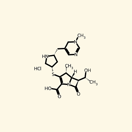 C[C@@H](O)[C@H]1C(=O)N2C(C(=O)O)=C(S[C@@H]3CN[C@H](CC4=CN=CN(C)C4)C3)[C@H](C)[C@H]12.Cl